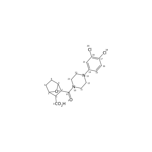 O=C(O)C1C2CCC(O2)C1C(=O)N1CCN(c2ccc(Cl)c(Cl)c2)CC1